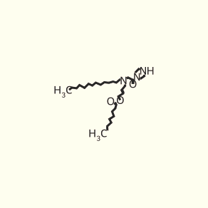 CCCCCCCCCCCCCCN(CC=CCOC(=O)CCCCCCCC)CC(=O)N1CCNCC1